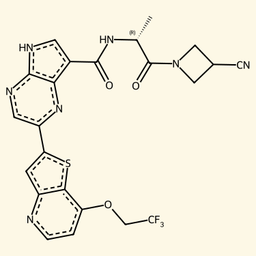 C[C@@H](NC(=O)c1c[nH]c2ncc(-c3cc4nccc(OCC(F)(F)F)c4s3)nc12)C(=O)N1CC(C#N)C1